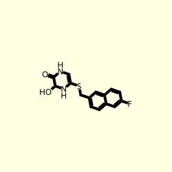 O=C1NC=C(SCc2ccc3cc(F)ccc3c2)NC1O